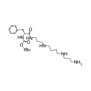 CC(C)(C)OC(=O)N[C@@H](Cc1ccccc1)C(=O)NCCCNCCCCNCCCN